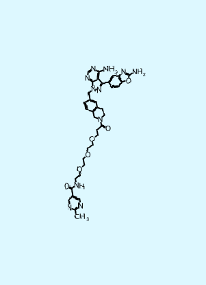 Cc1ncc(C(=O)NCCOCCOCCOCCC(=O)N2CCc3cc(Cn4nc(-c5ccc6oc(N)nc6c5)c5c(N)ncnc54)ccc3C2)cn1